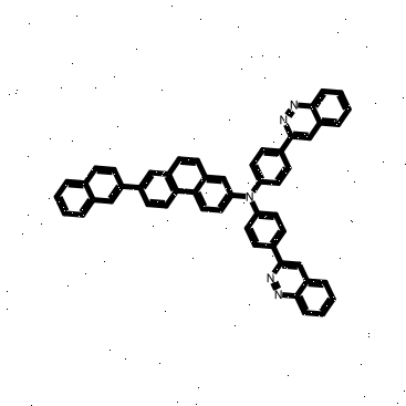 c1ccc2cc(-c3ccc4c(ccc5cc(N(c6ccc(-c7cc8ccccc8nn7)cc6)c6ccc(-c7cc8ccccc8nn7)cc6)ccc54)c3)ccc2c1